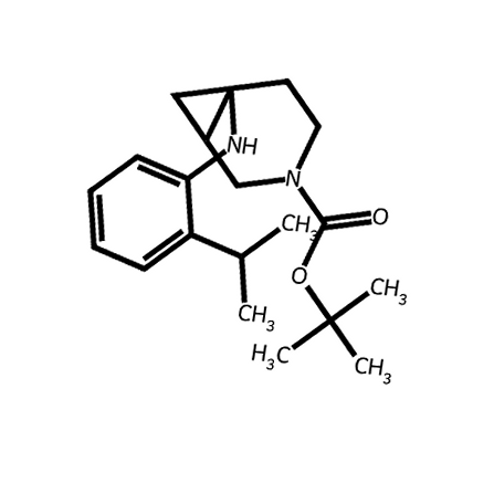 CC(C)c1ccccc1NC12CCN(C(=O)OC(C)(C)C)CC1C2